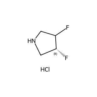 Cl.FC1CNC[C@H]1F